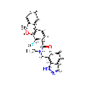 CCOc1c(-c2ccccc2)ccc(C(=O)N(C)Cc2cccc3cn[nH]c23)c1F